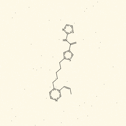 C=C(Nc1nccs1)c1csc(CCCCCc2ccncc2/C=C\C)c1